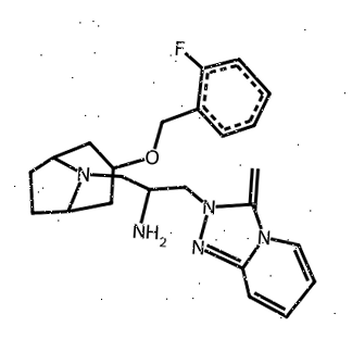 C=C1N(CC(N)CN2C3CCC2CC(OCc2ccccc2F)C3)N=C2C=CC=CN12